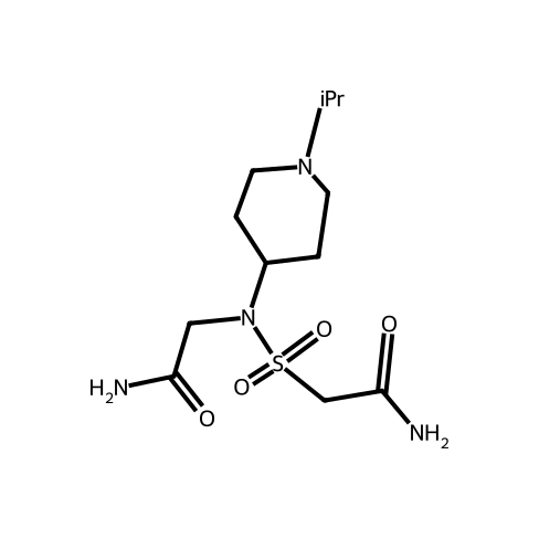 CC(C)N1CCC(N(CC(N)=O)S(=O)(=O)CC(N)=O)CC1